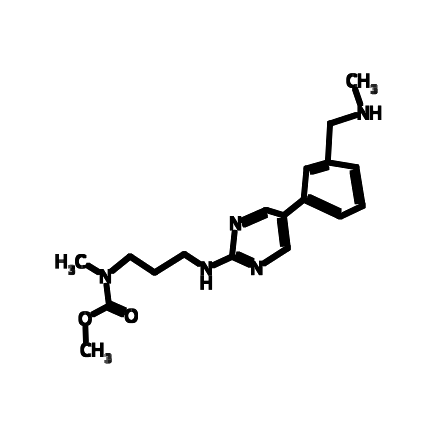 CNCc1cccc(-c2cnc(NCCCN(C)C(=O)OC)nc2)c1